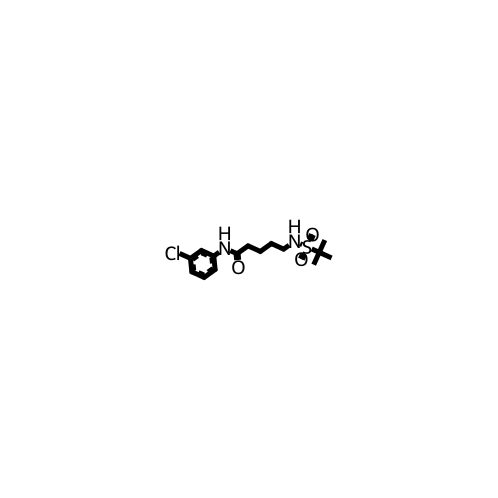 CC(C)(C)S(=O)(=O)NCCCCC(=O)Nc1cccc(Cl)c1